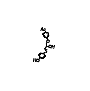 CC(=O)c1ccc(OCC(O)CSc2ccc(O)cc2)cc1